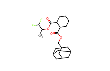 O=C(OCC12CC3CC(CC(C3)C1)C2)C1CCCCC1C(=O)OC(C(F)F)C(F)(F)F